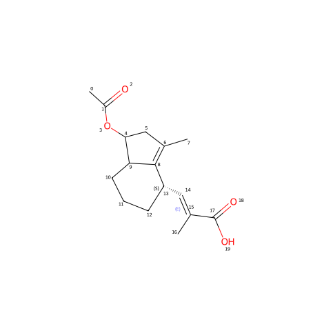 CC(=O)OC1CC(C)=C2C1CCC[C@H]2/C=C(\C)C(=O)O